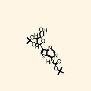 CC[C@]1(CO)O[C@@H](c2csc3c(NC(=O)OC(C)(C)C)ncnc23)[C@@H]2OC(C)(C)O[C@@H]21